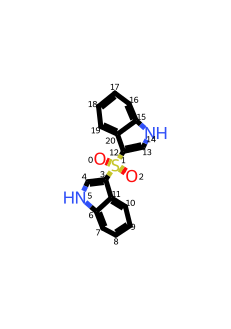 O=S(=O)(c1c[nH]c2ccccc12)c1c[nH]c2ccccc12